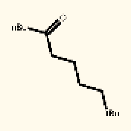 CCCCC(=O)CCCCC(C)(C)C